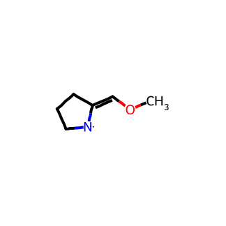 COC=C1CCC[N]1